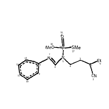 CCC(C#N)CCN(C=Nc1ccccc1)P(=O)(OC)SC